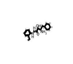 CCc1ccccc1NNC(=O)C(O)[C@H](N)CC1CCCCC1